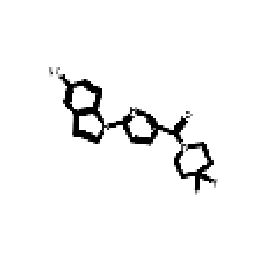 N#Cc1ccc2c(ccn2-c2ccc(C(=O)N3CCC(F)(F)CC3)cn2)c1